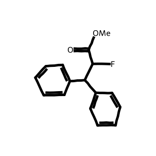 COC(=O)C(F)C(c1ccccc1)c1ccccc1